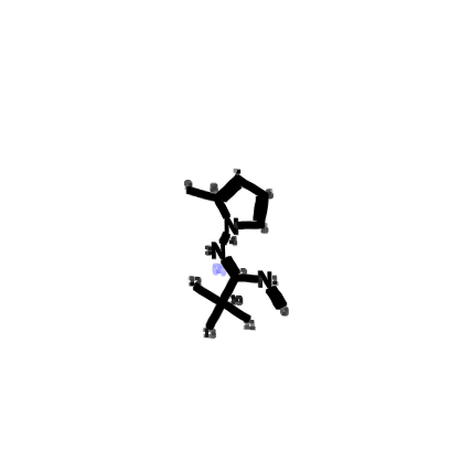 C=N/C(=N\n1cccc1C)C(C)(C)C